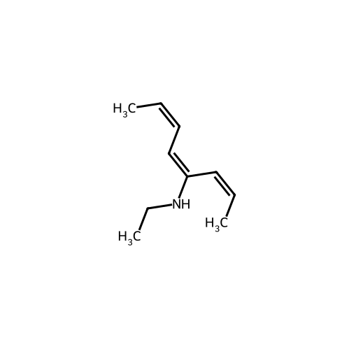 C\C=C/C=C(\C=C/C)NCC